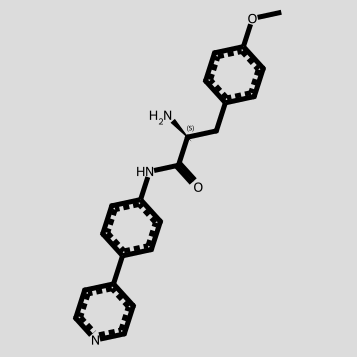 COc1ccc(C[C@H](N)C(=O)Nc2ccc(-c3ccncc3)cc2)cc1